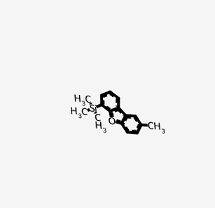 Cc1ccc2oc3c([Si](C)(C)C)cccc3c2c1